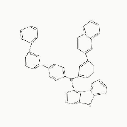 c1ccc(-c2cccc(-c3ccc(N(c4cccc(-c5ccc6ccccc6c5)c4)c4cccc5sc6ccccc6c45)cc3)c2)cc1